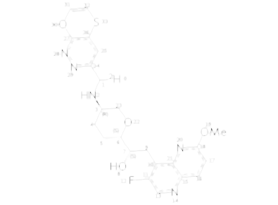 [2H]C(N[C@@H]1CC[C@@H]([C@@H](O)Cc2c(F)cnc3ccc(OC)nc23)OC1)c1cc2c(nn1)OC=CS2